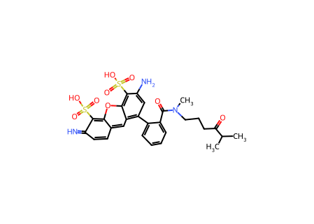 CC(C)C(=O)CCCN(C)C(=O)c1ccccc1-c1cc(N)c(S(=O)(=O)O)c2oc3c(S(=O)(=O)O)c(=N)ccc-3cc12